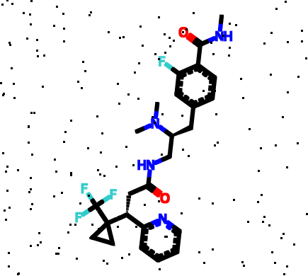 CNC(=O)c1ccc(C[C@@H](CNC(=O)C[C@H](c2ccccn2)C2(C(F)(F)F)CC2)N(C)C)cc1F